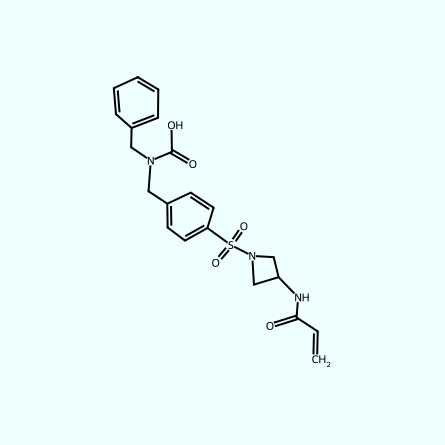 C=CC(=O)NC1CN(S(=O)(=O)c2ccc(CN(Cc3ccccc3)C(=O)O)cc2)C1